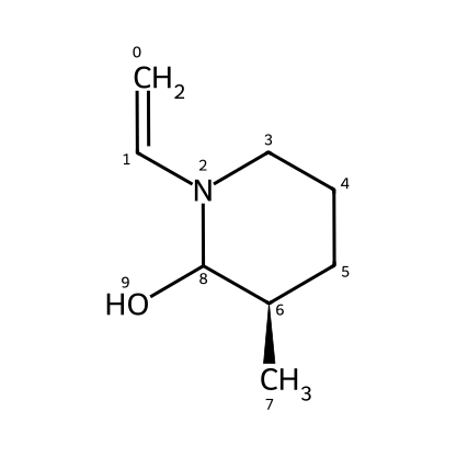 C=CN1CCC[C@@H](C)C1O